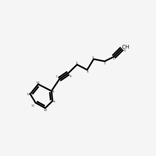 C#CCCCCC#Cc1ccccc1